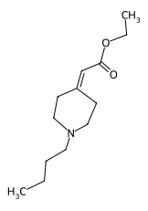 CCCCN1CCC(=CC(=O)OCC)CC1